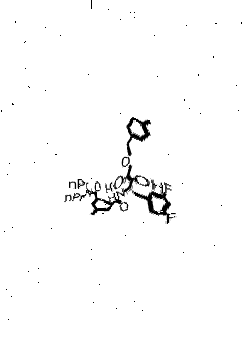 CCCN(CCC)C(=O)c1cc(C)cc(C(=O)N[C@@H](Cc2cc(F)cc(F)c2)[C@@H](O)[C@H](O)COCCc2ccc(C)cc2)c1